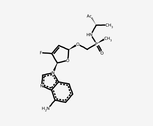 CC(=O)[C@H](C)N[P@](C)(=O)CO[C@@H]1C=C(F)[C@H](n2cnc3c(N)cccc32)O1